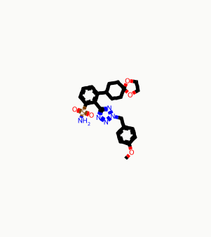 COc1ccc(Cn2nnc(-c3c(C4CCC5(CC4)OCCO5)cccc3S(N)(=O)=O)n2)cc1